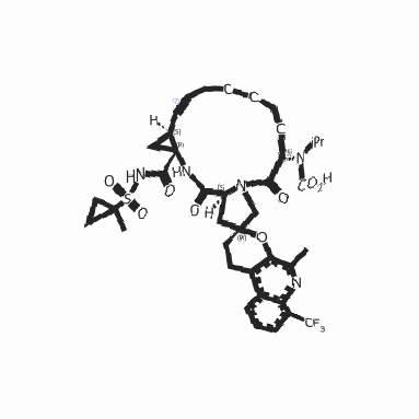 Cc1nc2c(C(F)(F)F)cccc2c2c1O[C@]1(CC2)C[C@H]2C(=O)N[C@]3(C(=O)NS(=O)(=O)C4(C)CC4)C[C@H]3/C=C\CCCCC[C@H](N(C(=O)O)C(C)C)C(=O)N2C1